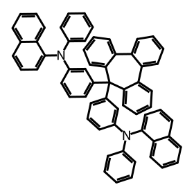 c1ccc(N(c2cccc(C3(c4cccc(N(c5ccccc5)c5cccc6ccccc56)c4)c4ccccc4-c4ccccc4-c4ccccc43)c2)c2cccc3ccccc23)cc1